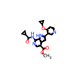 COC(=O)c1cnc(NC(=O)C2CC2)c2[nH]c(-c3cnccc3OC3CC3)cc12